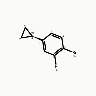 Fc1cc([C@H]2[CH]C2)ccc1Br